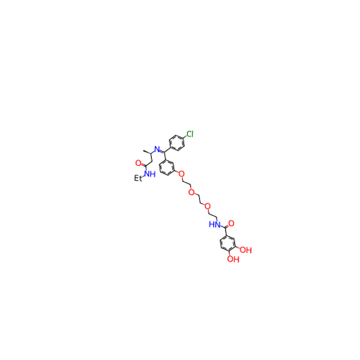 CCNC(=O)C[C@@H](C)/N=C(/c1ccc(Cl)cc1)c1cccc(OCCOCCOCCNC(=O)c2ccc(O)c(O)c2)c1